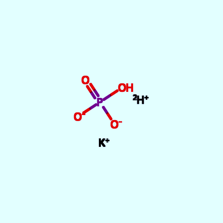 O=P([O-])([O-])O.[2H+].[K+]